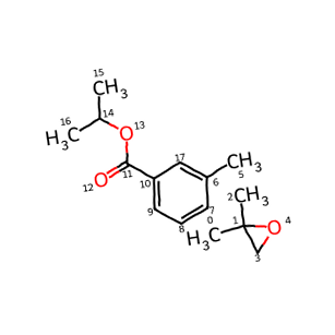 CC1(C)CO1.Cc1cccc(C(=O)OC(C)C)c1